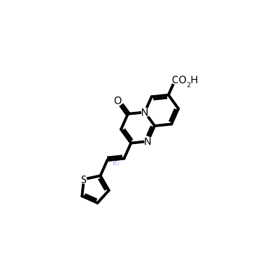 O=C(O)c1ccc2nc(/C=C/c3cccs3)cc(=O)n2c1